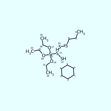 C1CCCCC1.CCCSS[SH](S)[Si](OCC)(OCC)OCC